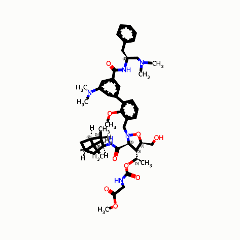 COC(=O)CNC(=O)O[C@@H](C)[C@H]1[C@H](CO)ON(Cc2cccc(-c3cc(C(=O)N[C@@H](Cc4ccccc4)CN(C)C)cc(N(C)C)c3)c2OC)[C@@H]1C(=O)N[C@H]1C[C@H]2C[C@@H]([C@@H]1C)C2(C)C